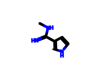 CNC(=N)c1[c][nH]cc1